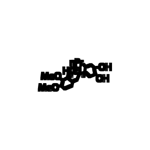 C=C(/C=c1/ccc(OC)c(OC)/c1=C/C)c1cc(O)c(O)cc1CCC